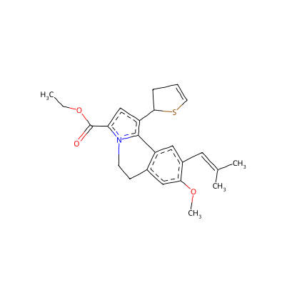 CCOC(=O)c1cc(C2CC=CS2)c2n1CCc1cc(OC)c(C=C(C)C)cc1-2